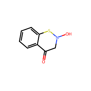 O=C1CN(O)Sc2ccccc21